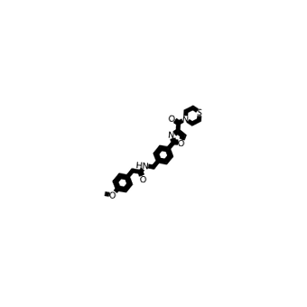 COc1ccc(CC(=O)NCc2ccc(-c3nc(C(=O)N4CCSCC4)co3)cc2)cc1